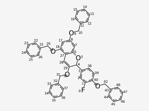 Fc1cc(C2Oc3cc(OCc4ccccc4)cc(OCc4ccccc4)c3C=C2OCc2ccccc2)ccc1OCc1ccccc1